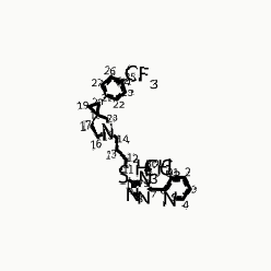 Cc1cccnc1-c1nnc(SCCCN2CC[C@]3(C[C@@H]3c3ccc(C(F)(F)F)cc3)C2)n1C